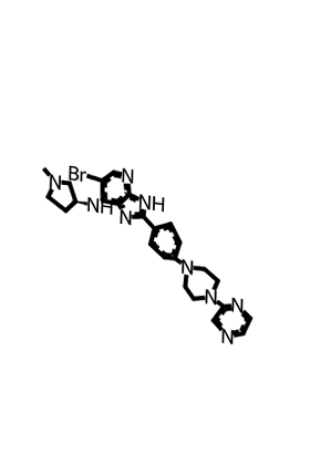 CN1CC[C@H](Nc2c(Br)cnc3[nH]c(-c4ccc(N5CCN(c6cnccn6)CC5)cc4)nc23)C1